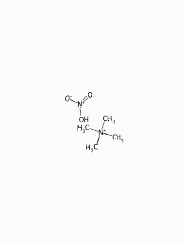 C[N+](C)(C)C.O=[N+]([O-])O